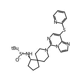 CC(C)(C)[S@@+]([O-])N[C@@H]1CCCC12CCN(c1ncc(Sc3ccccn3)c3nccn13)CC2